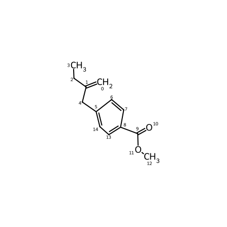 C=C(CC)Cc1ccc(C(=O)OC)cc1